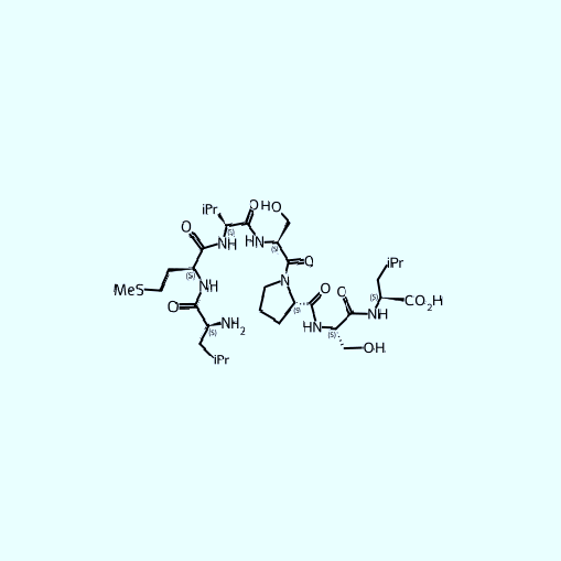 CSCC[C@H](NC(=O)[C@@H](N)CC(C)C)C(=O)N[C@H](C(=O)N[C@@H](CO)C(=O)N1CCC[C@H]1C(=O)N[C@@H](CO)C(=O)N[C@@H](CC(C)C)C(=O)O)C(C)C